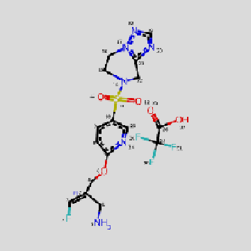 NC/C(=C\F)COc1ccc(S(=O)(=O)N2CCn3ncnc3C2)cn1.O=C(O)C(F)(F)F